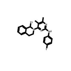 CCC1c2ccccc2CCN1c1nc(Nc2ccc(F)cc2)nc(C)c1C